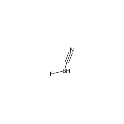 N#CBF